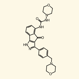 O=C(Nc1cccc2c1C(=O)c1c(-c3ccc(CN4CCOCC4)cc3)n[nH]c1-2)NN1CCOCC1